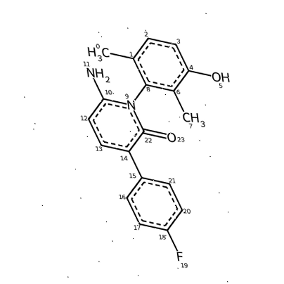 Cc1ccc(O)c(C)c1-n1c(N)ccc(-c2ccc(F)cc2)c1=O